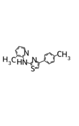 Cc1ccc(-c2csc(Nc3ncccc3C)n2)cc1